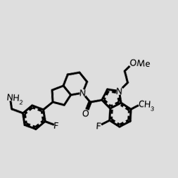 COCCn1cc(C(=O)N2CCCC3CC(c4cc(CN)ccc4F)CC32)c2c(F)ccc(C)c21